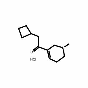 CN1CCC=C(C(=O)CC2CCC2)C1.Cl